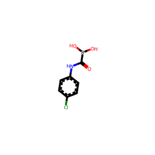 O=C(Nc1ccc(Cl)cc1)B(O)O